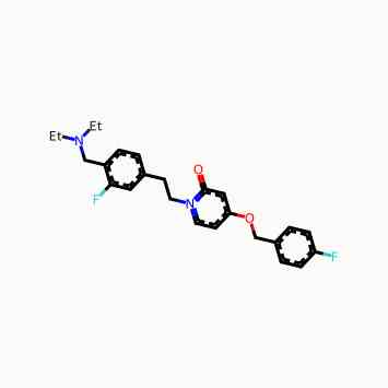 CCN(CC)Cc1ccc(CCn2ccc(OCc3ccc(F)cc3)cc2=O)cc1F